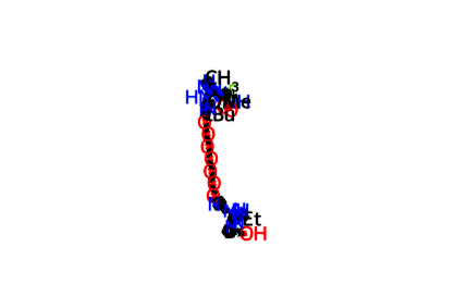 CCc1cnn2c(NCc3ccc(OCCOCCOCCOCCOCCOCCOCCn4cc(Nc5nc(N6C[C@@H](F)[C@H](NC(=O)OC(C)(C)C)C6)nc6c5ncn6C)c(OC)n4)nc3)cc(N3CCCC[C@@H]3CCO)nc12